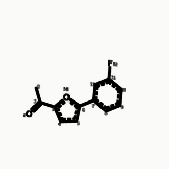 CC(=O)c1ccc(-c2cccc(F)c2)o1